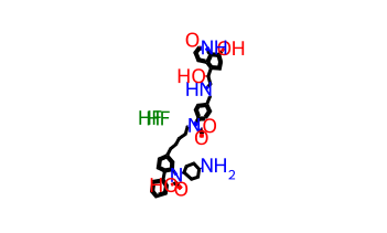 F.F.N[C@H]1CC[C@H](N(C(=O)O)c2cc(CCCCCn3c(=O)oc4cc(CNC[C@H](O)c5ccc(O)c6[nH]c(=O)ccc56)ccc43)ccc2-c2ccccc2)CC1